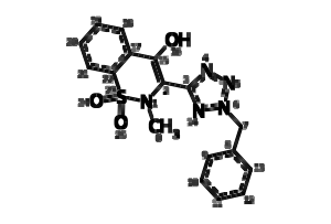 CN1C(c2nnn(Cc3ccccc3)n2)=C(O)c2ccccc2S1(=O)=O